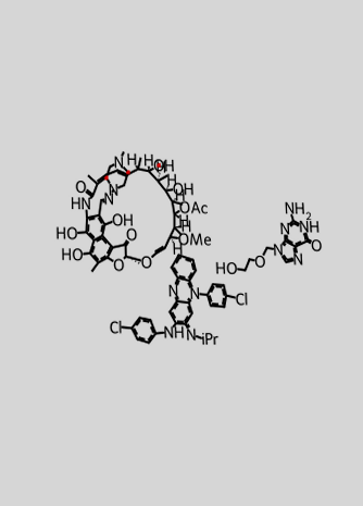 CC(C)/N=c1\cc2n(-c3ccc(Cl)cc3)c3ccccc3nc-2cc1Nc1ccc(Cl)cc1.CO[C@H]1/C=C/O[C@@]2(C)Oc3c(C)c(O)c4c(O)c(c(/C=N/N5CCN(C)CC5)c(O)c4c3C2=O)NC(=O)/C(C)=C\C=C\[C@H](C)[C@H](O)[C@@H](C)[C@@H](O)[C@@H](C)[C@H](OC(C)=O)[C@@H]1C.Nc1nc2c(ncn2COCCO)c(=O)[nH]1